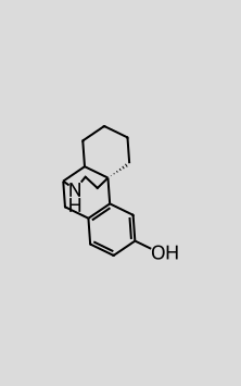 Oc1ccc2c(c1)[C@]13CCCCC1C(C2)NCC3